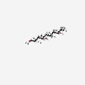 [CH2]C=C(C)CCC=C(C)CCC=C(C)CCC=C(C)CCC=C(C)CCC=C(C)CCC=C(C)CCC=C(C)CCC=C(C)C